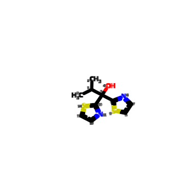 CC(C)C(O)(c1nccs1)c1nccs1